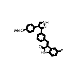 COc1ccc(-c2c[nH]nc2-c2cccc(C=C3C(=O)Nc4ccc(F)cc43)c2)cc1